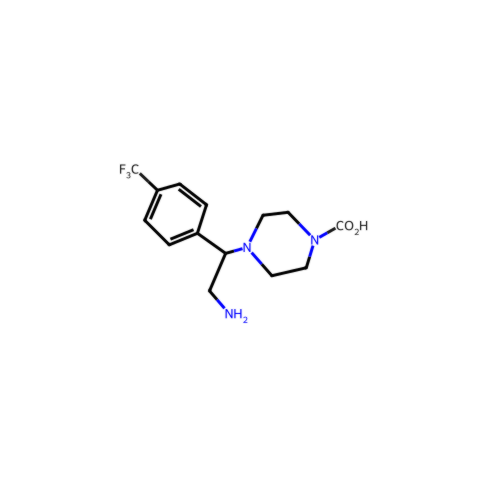 NCC(c1ccc(C(F)(F)F)cc1)N1CCN(C(=O)O)CC1